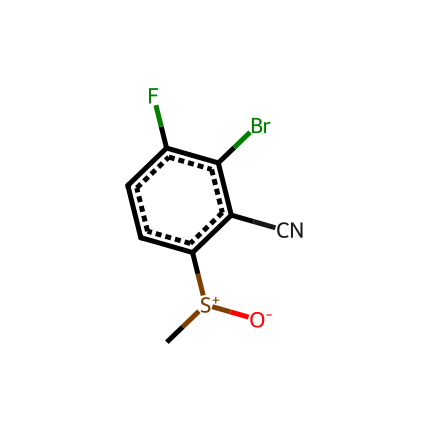 C[S+]([O-])c1ccc(F)c(Br)c1C#N